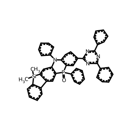 C[Si]1(C)c2ccccc2-c2cc3c(cc21)N(c1ccccc1)c1ccc(-c2nc(-c4ccccc4)nc(-c4ccccc4)n2)cc1P3(=O)c1ccccc1